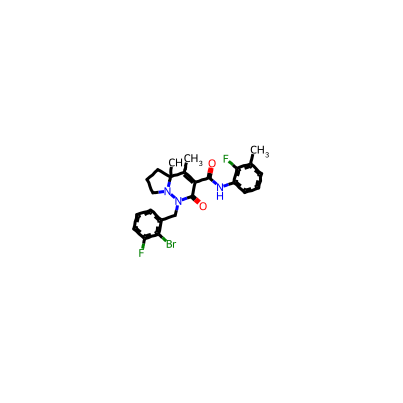 CC1=C(C(=O)Nc2cccc(C)c2F)C(=O)N(Cc2cccc(F)c2Br)N2CCCC12C